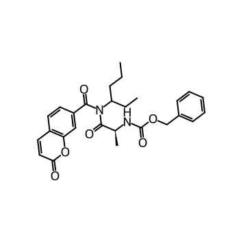 CCCC(CC)N(C(=O)c1ccc2ccc(=O)oc2c1)C(=O)[C@H](C)NC(=O)OCc1ccccc1